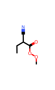 CCC(C#N)C(=O)OOC